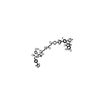 Cc1ncsc1-c1ccc(CNC(=O)[C@@H]2C[C@@H](O)CN2C(=O)[C@@H](NC(=O)CCCCNC(=O)CCC(=O)N2CCN(c3ncc(-c4cc(NC(=O)c5c[nH]c(=O)cc5C(F)(F)F)c(N5C[C@@H](C)N(C)[C@@H](C)C5)cc4F)cn3)CC2)C(C)(C)C)cc1